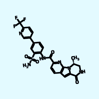 C[C@@H]1CNC(=O)c2cc3ccc(C(=O)Nc4ccc(-c5ccc(C(F)(F)F)nc5)cc4S(N)(=O)=O)nc3n21